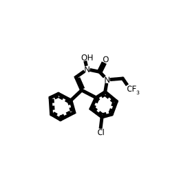 O=C1N(O)C=C(c2ccccc2)c2cc(Cl)ccc2N1CC(F)(F)F